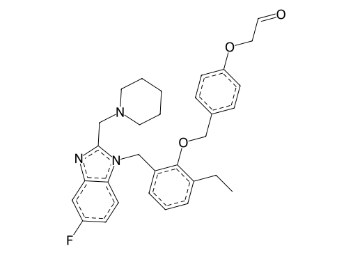 CCc1cccc(Cn2c(CN3CCCCC3)nc3cc(F)ccc32)c1OCc1ccc(OCC=O)cc1